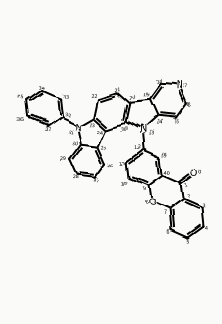 O=c1c2ccccc2oc2ccc(-n3c4ccncc4c4ccc5c(c6ccccc6n5-c5ccccc5)c43)cc12